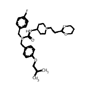 CC(C)COc1ccc(CN(Cc2ccc(F)cc2)C(=O)NC2CCN(CCC3OCCCO3)CC2)cc1